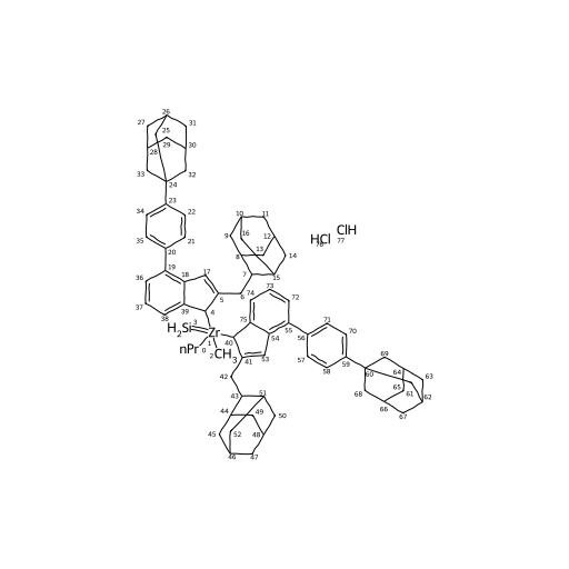 CC[CH2][Zr]([CH3])(=[SiH2])([CH]1C(CC2C3CC4CC(C3)CC2C4)=Cc2c(-c3ccc(C45CC6CC(CC(C6)C4)C5)cc3)cccc21)[CH]1C(CC2C3CC4CC(C3)CC2C4)=Cc2c(-c3ccc(C45CC6CC(CC(C6)C4)C5)cc3)cccc21.Cl.Cl